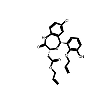 C=CCOC(=O)C[C@H]1S[C@H](c2cccc(O)c2OCC=C)c2cc(Cl)ccc2NC1=O